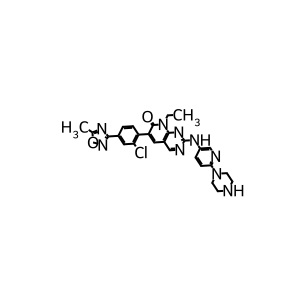 CCn1c(=O)c(-c2ccc(-c3noc(C)n3)cc2Cl)cc2cnc(Nc3ccc(N4CCNCC4)nc3)nc21